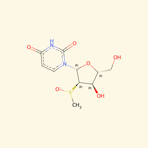 C[S+]([O-])[C@@H]1[C@H](O)[C@@H](CO)O[C@H]1n1ccc(=O)[nH]c1=O